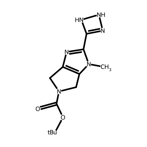 Cn1c(-c2n[nH][nH]2)nc2c1CN(C(=O)OC(C)(C)C)C2